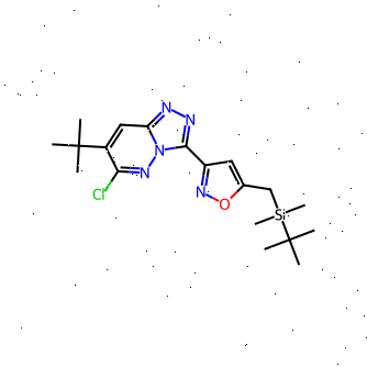 CC(C)(C)c1cc2nnc(-c3cc(C[Si](C)(C)C(C)(C)C)on3)n2nc1Cl